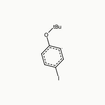 CC(C)(C)Oc1[c]cc(I)cc1